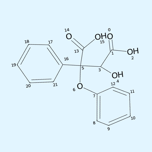 O=C(O)C(O)C(Oc1ccccc1)(C(=O)O)c1ccccc1